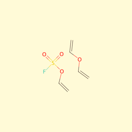 C=COC=C.C=COS(=O)(=O)F